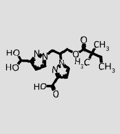 CCC(C)(C)C(=O)OCC(Cn1ccc(C(O)O)n1)n1ccc(C(=O)O)n1